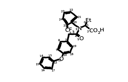 CCC(C(=O)O)N(C(=O)Cc1ccc(Oc2ccccc2)cc1)c1ccccc1C(F)(F)F